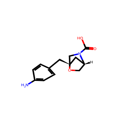 Nc1ccc(C[C@@]23C[C@@H](CO2)N(C(=O)O)C3)cc1